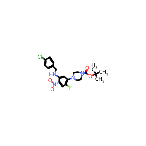 CC(C)(C)OC(=O)N1CCN(c2cc(NCc3ccc(Cl)cc3)c([N+](=O)[O-])cc2F)CC1